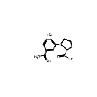 Cl.N=C(N)c1cccc(N2CCC[C@@H]2C(=O)O)c1